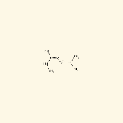 CN(C)C.CNC(=O)O